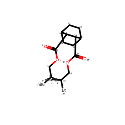 CCCCC(CC)COC(=O)C1C2CCC(CC2)C1C(=O)OCC(CC)CCCC